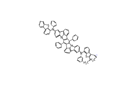 C=Cc1sc2c(N(c3ccccc3)c3ccc4c(c3)c3cccc5c6c(-c7ccccc7)c7c(c(-c8ccccc8)c6n4c35)c3cccc4c5cc(N(c6ccccc6)c6cccc8c6sc6ccccc68)ccc5n7c43)cccc2c1/C=C\C